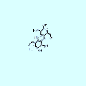 CC1C(O)OC(CO)[C@@H](O[C@@H]2OC(C=O)[C@@H](O)[C@@H](O)C2O)[C@@H]1O